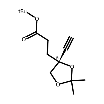 C#C[C@]1(CCC(=O)OC(C)(C)C)COC(C)(C)O1